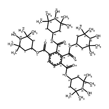 CC1(C)CC(OC(=O)c2ccc(C(=O)OC3CC(C)(C)N(O)C(C)(C)C3)c(C(=O)OC3CC(C)(C)N(O)C(C)(C)C3)c2C(=O)OC2CC(C)(C)N(O)C(C)(C)C2)CC(C)(C)N1O